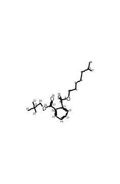 CC(C)CCCCCOC(=O)c1ccccc1C(=O)OCC(C)(C)C